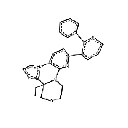 CCC12COCCN1c1nc(-c3cccnc3-c3ccccc3)ncc1-n1cnnc12